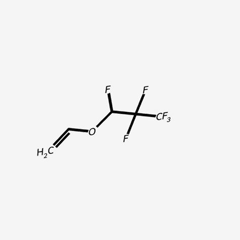 C=COC(F)C(F)(F)C(F)(F)F